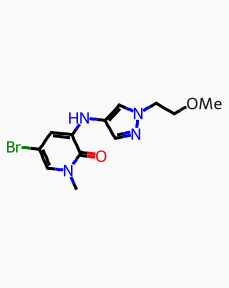 COCCn1cc(Nc2cc(Br)cn(C)c2=O)cn1